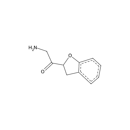 NCC(=O)C1Cc2ccccc2O1